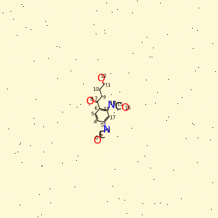 O=C=Nc1ccc(C(=O)CCC=O)c(N=C=O)c1